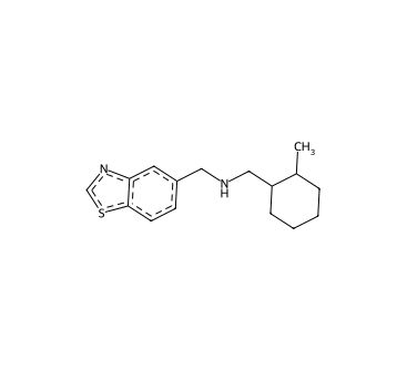 CC1CCCCC1CNCc1ccc2scnc2c1